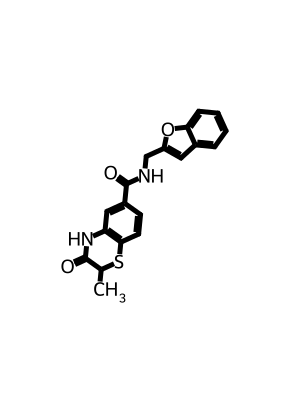 CC1Sc2ccc(C(=O)NCc3cc4ccccc4o3)cc2NC1=O